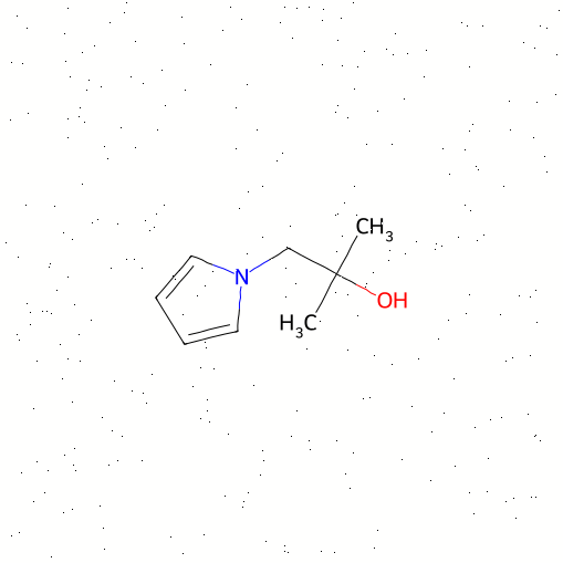 CC(C)(O)Cn1cccc1